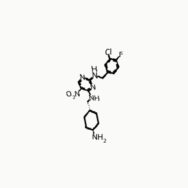 N[C@H]1CC[C@H](CNc2nc(NCc3ccc(F)c(Cl)c3)ncc2[N+](=O)[O-])CC1